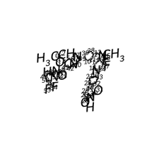 CC(C)Oc1cc2nc([C@H]3CC[C@H](CN(C)C4CCN(c5ccc(C6CCC(=O)NC6=O)cc5)CC4(F)F)CC3)cn2cc1C(=O)Nc1cccc(C(F)F)n1